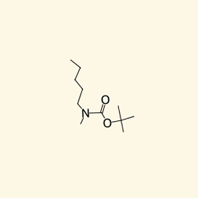 CCCCCN(C)C(=O)OC(C)(C)C